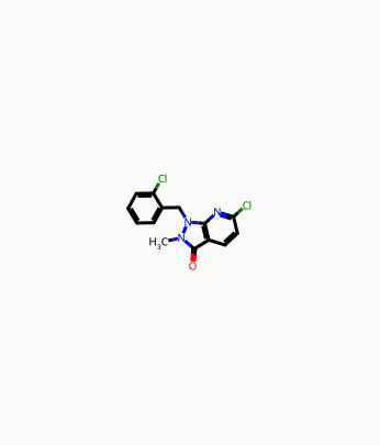 Cn1c(=O)c2ccc(Cl)nc2n1Cc1ccccc1Cl